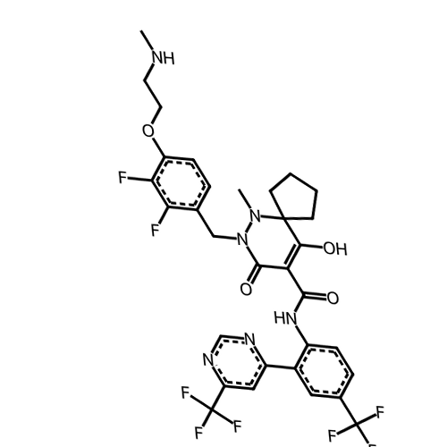 CNCCOc1ccc(CN2C(=O)C(C(=O)Nc3ccc(C(F)(F)F)cc3-c3cc(C(F)(F)F)ncn3)=C(O)C3(CCCC3)N2C)c(F)c1F